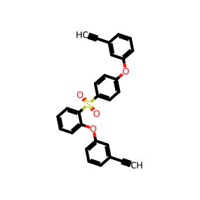 C#Cc1cccc(Oc2ccc(S(=O)(=O)c3ccccc3Oc3cccc(C#C)c3)cc2)c1